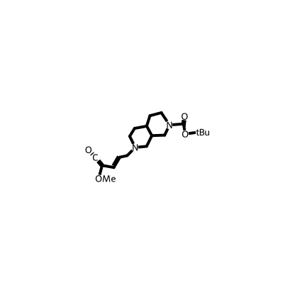 COC(=C=O)/C=C/CN1CCC2CCN(C(=O)OC(C)(C)C)CC2C1